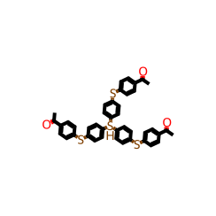 CC(=O)c1ccc(Sc2ccc([SH](c3ccc(Sc4ccc(C(C)=O)cc4)cc3)c3ccc(Sc4ccc(C(C)=O)cc4)cc3)cc2)cc1